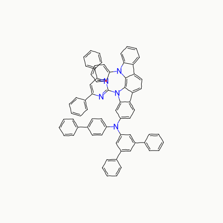 c1ccc(-c2ccc(N(c3cc(-c4ccccc4)cc(-c4ccccc4)c3)c3ccc4c5ccc6c7ccccc7n(-c7ccccc7)c6c5n(-c5nc(-c6ccccc6)cc(-c6ccccc6)n5)c4c3)cc2)cc1